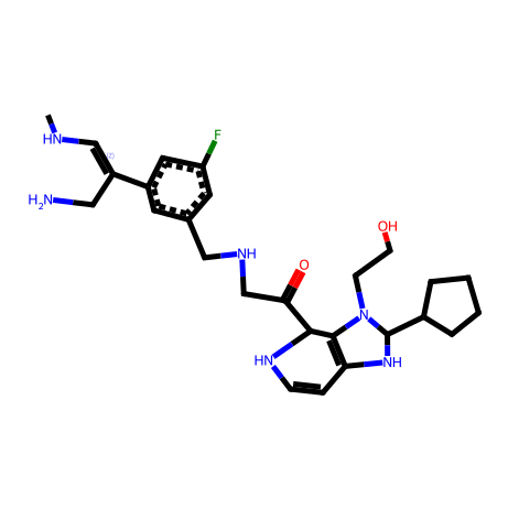 CN/C=C(\CN)c1cc(F)cc(CNCC(=O)C2NC=CC3=C2N(CCO)C(C2CCCC2)N3)c1